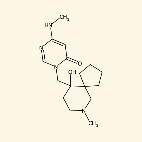 CNc1cc(=O)n(CC2(O)CCN(C)CC23CCCC3)cn1